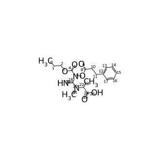 CCCOC(=O)N(OC(=O)CCc1ccccc1)C(=N)N(C)C(C)C(=O)O